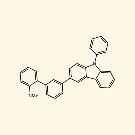 CNc1ccccc1-c1cccc(-c2ccc3c(c2)c2ccccc2n3-c2ccccc2)c1